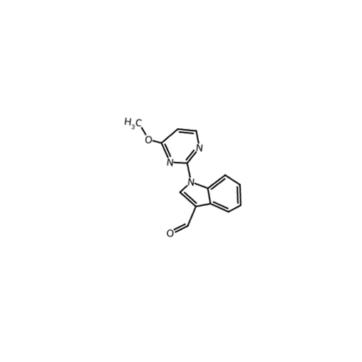 COc1ccnc(-n2cc(C=O)c3ccccc32)n1